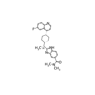 C[C@@H](c1nc2cc(C(=O)N(C)C)ccc2[nH]1)[C@H]1CC[C@@H](c2ccnc3ccc(F)cc32)CC1